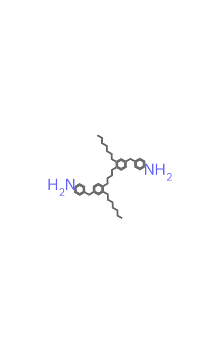 CCCCCCCc1cc(Cc2ccc(N)cc2)ccc1CCCCc1ccc(Cc2ccc(N)cc2)cc1CCCCCCC